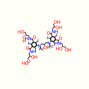 CC(=O)N(CC(O)CN(C(C)=O)c1c(I)c(C(=O)NCC(O)CO)c(I)c(C(=O)NCC(O)COO)c1I)c1c(I)c(C(=O)NCC(O)CO)c(I)c(C(=O)NCC(O)CO)c1I